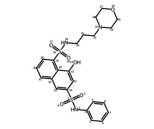 O=S(=O)(Nc1ccccc1)c1cc(O)c2c(S(=O)(=O)NCCCN3CCOCC3)cccc2c1